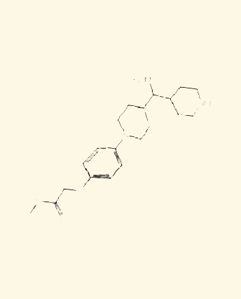 COC(=O)COc1ccc(N2CCC(C(N)C3CCNCC3)CC2)cc1.Cl.Cl